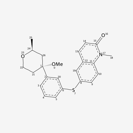 CO[C@]1(c2cccc(Sc3ccc4c(ccc(=O)n4C)c3)c2)CCO[C@@H](C)C1